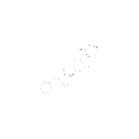 N[C@H](Cc1ccccc1)C(=O)Nc1ccc(N2CCOCC2=O)cc1